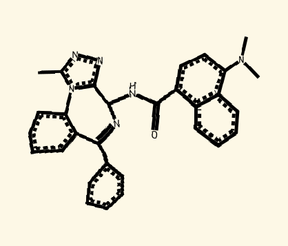 Cc1nnc2n1-c1ccccc1C(c1ccccc1)=NC2NC(=O)c1ccc(N(C)C)c2ccccc12